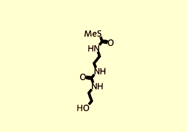 CSC(=O)NCCNC(=O)NCCO